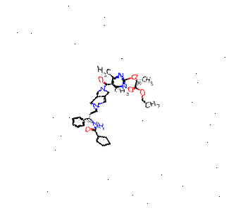 CCOC(=O)[C@@H](C)Oc1nc(C)c(C(=O)N2CC3CN(CC[C@H](NC(=O)C4CCCC4)c4ccccc4)CC3C2)c(C)n1